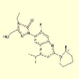 CCn1c(CO)nn(-c2cc3c(C(C)C)cc(N4CCCC[C@@H]4C)nc3cc2F)c1=O